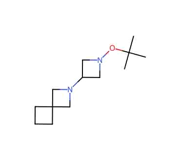 CC(C)(C)ON1CC(N2CC3(CCC3)C2)C1